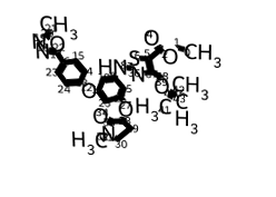 CCOC(=O)c1sc(Nc2cc(Oc3ccc(-c4nnc(C)o4)cc3)cc(OC3CCN(C)C3=O)c2)nc1COC(C)(C)C